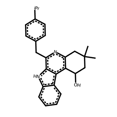 CC(C)c1ccc(Cc2nc3c(c4c2[nH]c2ccccc24)C(O)CC(C)(C)C3)cc1